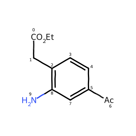 CCOC(=O)Cc1ccc(C(C)=O)cc1N